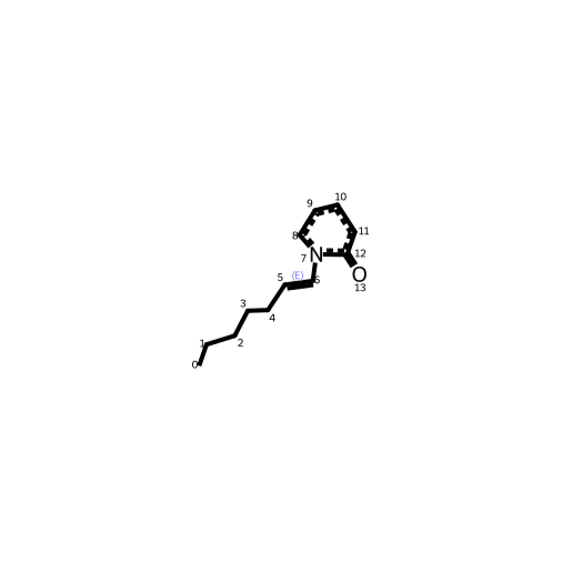 CCCCC/C=C/n1ccccc1=O